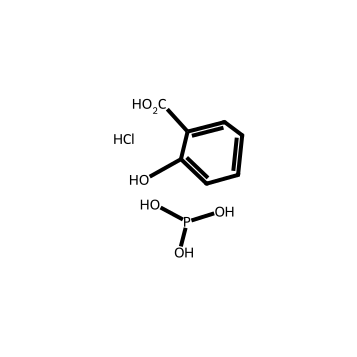 Cl.O=C(O)c1ccccc1O.OP(O)O